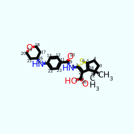 CC1(C)CCc2sc(NC(=O)c3ccc(NC4CCOCC4)cc3)c(C(=O)O)c21